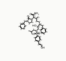 CC(C)CN(C[C@H](O)[C@@H](CCC(C)C(C(N)=O)N1CCN(Cc2cccnc2)C1=O)Cc1ccccc1)S(=O)(=O)c1ccc(C=NO)cc1